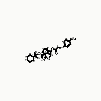 CCC(C)c1ccc(OCC(=O)OC2C3CC4C2OC(=O)C4(C(=O)OC(C)(C)C2CCCCC2)C3)cc1